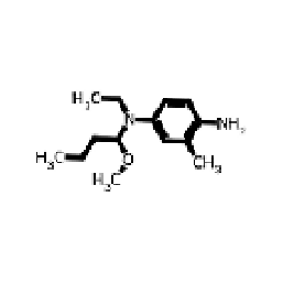 CCCC(OC)N(CC)c1ccc(N)c(C)c1